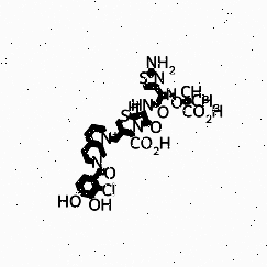 CC(C)(O/N=C(\C(=O)N[C@@H]1C(=O)N2C(C(=O)O)=C(C[n+]3cccc4c3CN(C(=O)c3ccc(O)c(O)c3Cl)CC4)CS[C@H]12)c1csc(N)n1)C(=O)O